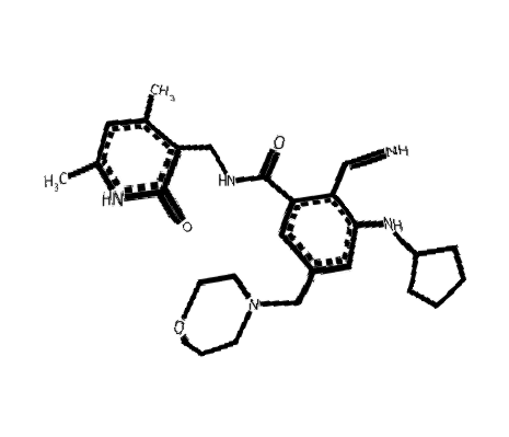 Cc1cc(C)c(CNC(=O)c2cc(CN3CCOCC3)cc(NC3CCCC3)c2C=N)c(=O)[nH]1